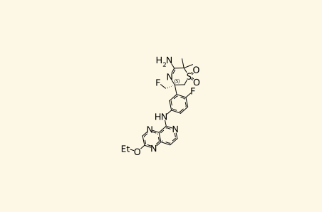 CCOc1cnc2c(Nc3ccc(F)c([C@]4(CF)CS(=O)(=O)C(C)(C)C(N)=N4)c3)nccc2n1